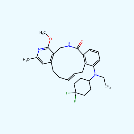 CCN(c1cccc2c1C/C=C/CCc1cc(C)nc(OC)c1CNC2=O)C1CCC(F)(F)CC1